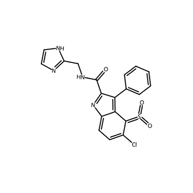 O=C(NCc1ncc[nH]1)C1=NC2=CC=C(Cl)C(=S(=O)=O)C2=C1c1ccccc1